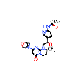 COC(=O)Nc1ccc(C(=O)CN2c3nc(N4CC5CC4CO5)cc(=O)n3CC[C@H]2C(F)(F)F)cn1